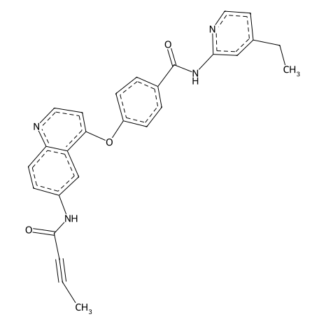 CC#CC(=O)Nc1ccc2nccc(Oc3ccc(C(=O)Nc4cc(CC)ccn4)cc3)c2c1